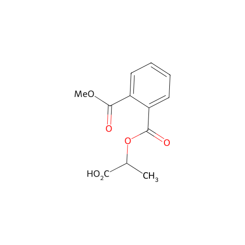 COC(=O)c1ccccc1C(=O)OC(C)C(=O)O